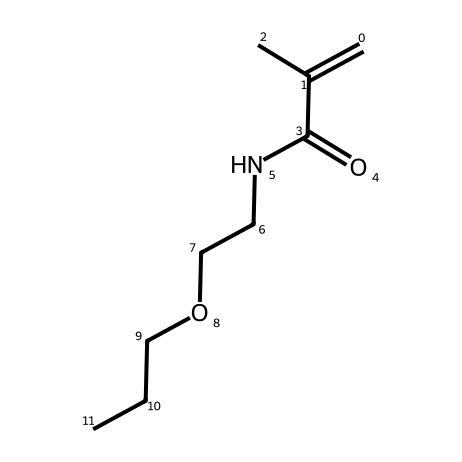 C=C(C)C(=O)NCCOCCC